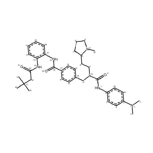 CN(C)c1ccc(NC(=O)N(CCC2CCCN2C)Cc2ccc(C(=O)Nc3ccccc3NC(=O)CC(C)(C)C)cc2)cc1